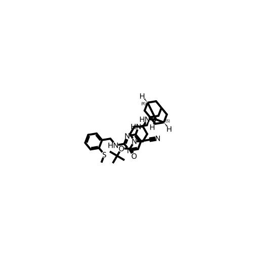 CSc1ccccc1CNc1ncc(C#N)c(NC[C@]23CC4C[C@H](C2)[C@@H](NC2CCN(C(=O)OC(C)(C)C)CC2)[C@@H](C4)C3)n1